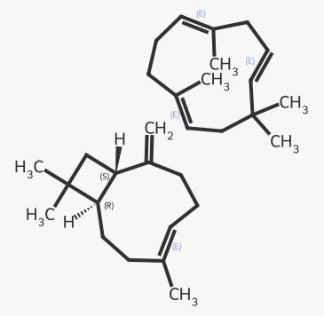 C/C1=C\CC/C(C)=C/CC(C)(C)/C=C/C1.C=C1CC/C=C(\C)CC[C@@H]2[C@@H]1CC2(C)C